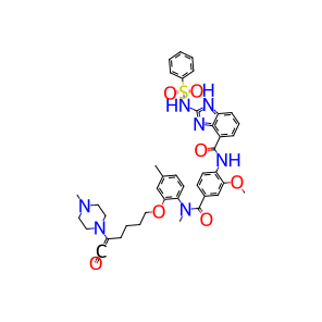 COc1cc(C(=O)N(C)c2ccc(C)cc2OCCCCC(=C=O)N2CCN(C)CC2)ccc1NC(=O)c1cccc2[nH]c(NS(=O)(=O)c3ccccc3)nc12